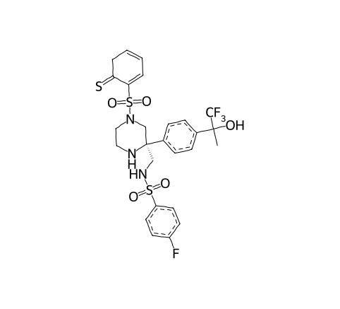 CC(O)(c1ccc([C@]2(CNS(=O)(=O)c3ccc(F)cc3)CN(S(=O)(=O)C3=CC=CCC3=S)CCN2)cc1)C(F)(F)F